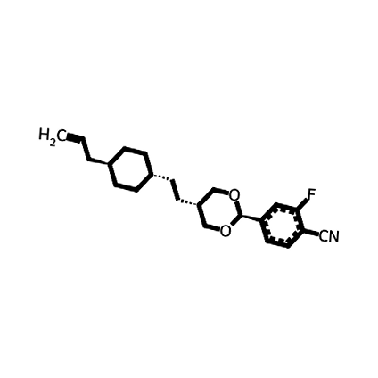 C=CC[C@H]1CC[C@H](CC[C@H]2CO[C@H](c3ccc(C#N)c(F)c3)OC2)CC1